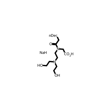 CCCCCCCCCCCC(=O)N(CCN(CCO)CCO)CC(=O)O.[NaH]